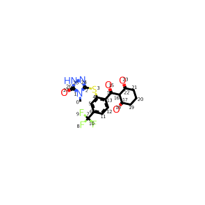 Cn1c(Sc2cc(C(F)(F)F)ccc2C(=O)C2C(=O)CCCC2=O)n[nH]c1=O